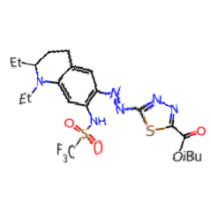 CCC1CCc2cc(N=Nc3nnc(C(=O)OCC(C)C)s3)c(NS(=O)(=O)C(F)(F)F)cc2N1CC